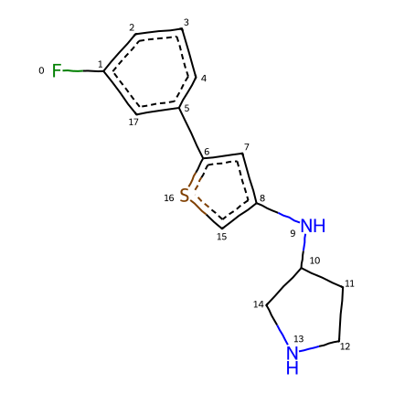 Fc1cccc(-c2cc(NC3CCNC3)cs2)c1